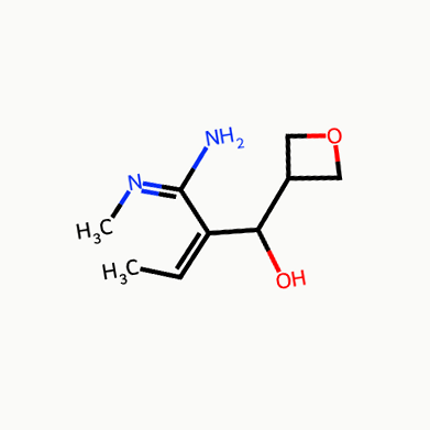 C/C=C(\C(N)=N/C)C(O)C1COC1